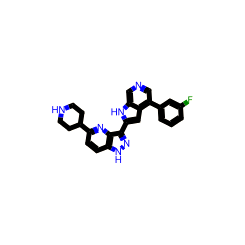 Fc1cccc(-c2cncc3[nH]c(-c4n[nH]c5ccc(C6CCNCC6)nc45)cc23)c1